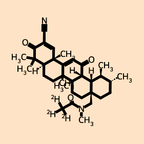 [2H]C([2H])([2H])C(=O)N(C)C[C@]12CC[C@@H](C)[C@H](C)[C@H]1[C@H]1C(=O)C=C3[C@@]4(C)C=C(C#N)C(=O)C(C)(C)[C@@H]4CC[C@@]3(C)[C@]1(C)CC2